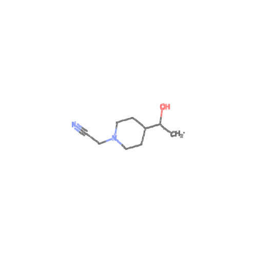 [CH2]C(O)C1CCN(CC#N)CC1